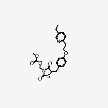 CCc1ccc(CCOc2ccc(CC3SC(=O)N(COC(=O)OC)C3=O)cc2)nc1